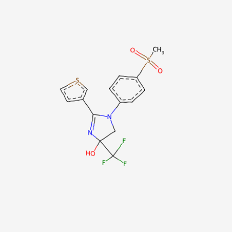 CS(=O)(=O)c1ccc(N2CC(O)(C(F)(F)F)N=C2c2ccsc2)cc1